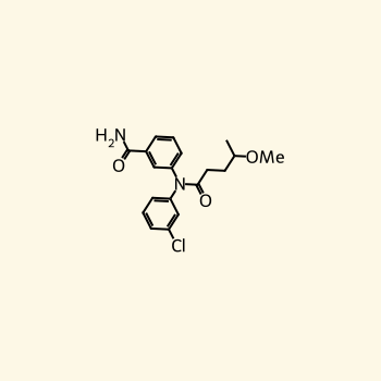 COC(C)CCC(=O)N(c1cccc(Cl)c1)c1cccc(C(N)=O)c1